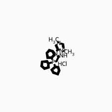 CN1C=C[N+]2(C)NC(C[P+](c3ccccc3)(c3ccccc3)c3ccccc3)=NC2=C1.Cl